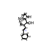 [N-]=[N+]=NC(/C=C/c1ccccc1)C(O)c1nnn[nH]1